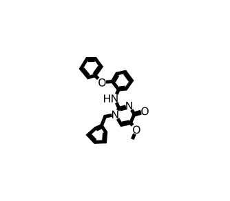 COc1cn(Cc2ccccc2)c(Nc2ccccc2Oc2ccccc2)nc1=O